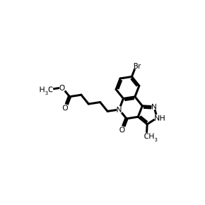 COC(=O)CCCCn1c(=O)c2c(C)[nH]nc2c2cc(Br)ccc21